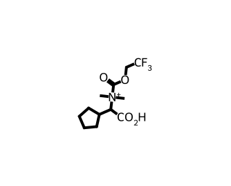 C[N+](C)(C(=O)OCC(F)(F)F)C(C(=O)O)C1CCCC1